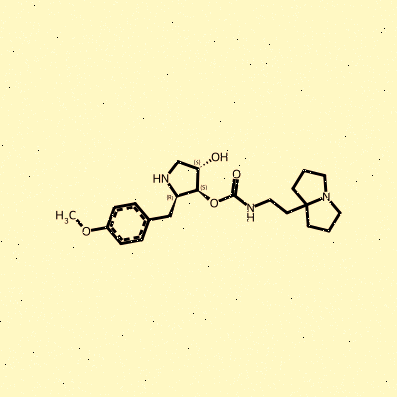 COc1ccc(C[C@H]2NC[C@H](O)[C@H]2OC(=O)NCCC23CCCN2CCC3)cc1